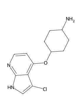 NC1CCC(Oc2ccnc3[nH]cc(Cl)c23)CC1